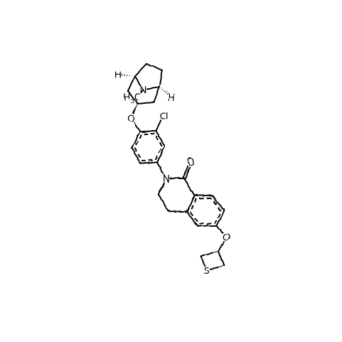 CN1[C@@H]2CC[C@H]1C[C@@H](Oc1ccc(N3CCc4cc(OC5CSC5)ccc4C3=O)cc1Cl)C2